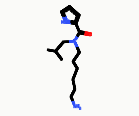 CC(C)CN(CCCCCCN)C(=O)c1ccc[nH]1